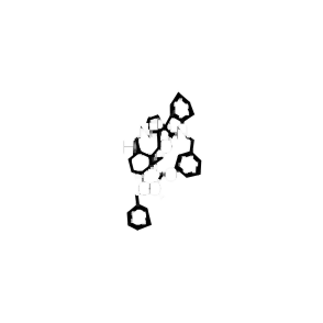 COC(=O)[C@@]12C[C@@]13C[C@@H]1N(CC[C@@]14C(=O)N(Cc1ccccc1)c1ccccc14)C[C@@H]3CC[C@@H]2OCc1ccccc1